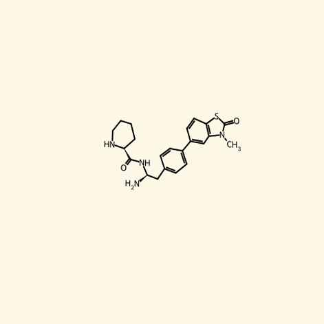 Cn1c(=O)sc2ccc(-c3ccc(C[C@@H](N)NC(=O)[C@@H]4CCCCN4)cc3)cc21